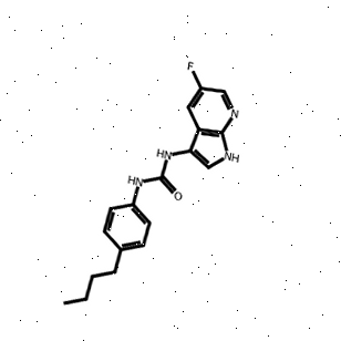 CCCCc1ccc(NC(=O)Nc2c[nH]c3ncc(F)cc23)cc1